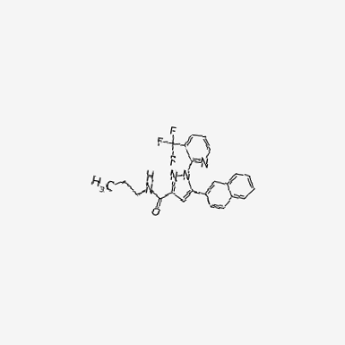 CCCNC(=O)c1cc(-c2ccc3ccccc3c2)n(-c2ncccc2C(F)(F)F)n1